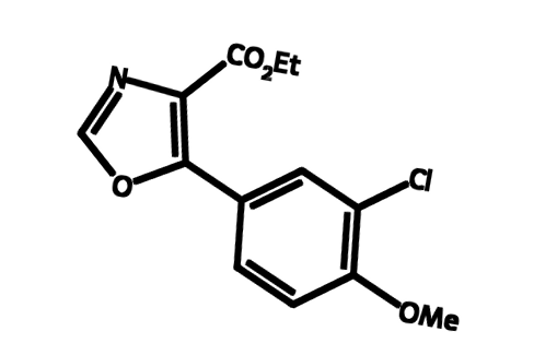 CCOC(=O)c1ncoc1-c1ccc(OC)c(Cl)c1